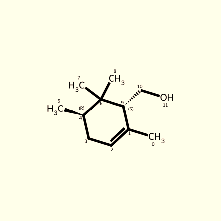 CC1=CC[C@@H](C)C(C)(C)[C@@H]1CO